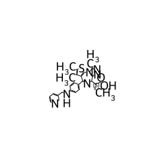 CC[C@H](C(=O)O)C1N=C(c2ccc(NCc3cccnc3)cc2)c2c(sc(C)c2C)-n2c(C)nnc21